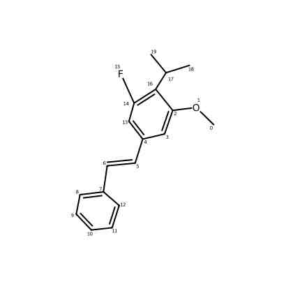 COc1cc(/C=C/c2ccccc2)cc(F)c1C(C)C